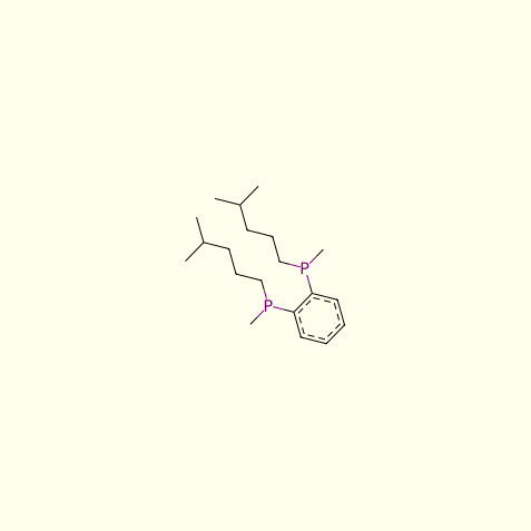 CC(C)CCCP(C)c1ccccc1P(C)CCCC(C)C